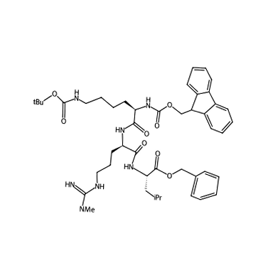 CNC(=N)NCCC[C@@H](NC(=O)[C@@H](CCCCNC(=O)OC(C)(C)C)NC(=O)OCC1c2ccccc2-c2ccccc21)C(=O)N[C@@H](CC(C)C)C(=O)OCc1ccccc1